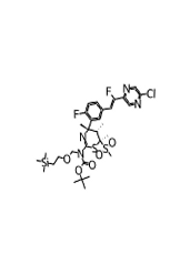 C[C@@H]1[C@@](C)(S(C)(=O)=O)SC(N(COCC[Si](C)(C)C)C(=O)OC(C)(C)C)=N[C@]1(C)c1cc(/C=C(\F)c2cnc(Cl)cn2)ccc1F